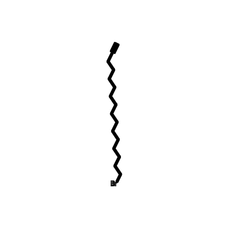 C#CCCCCCCCCCCCCCCBr